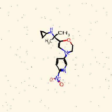 CC(C)(NC1CC1)C1CN(c2ccc([N+](=O)[O-])nc2)CCO1